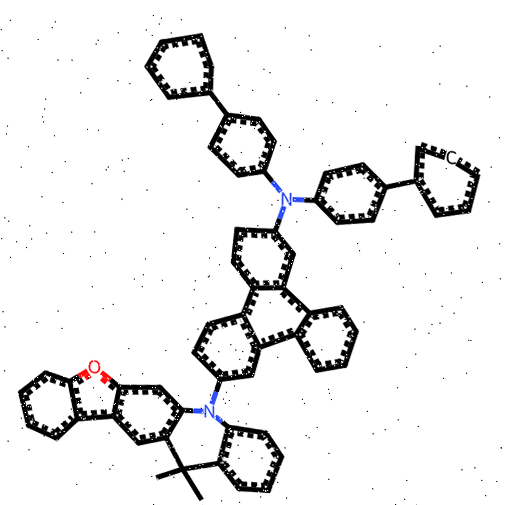 CC1(C)c2ccccc2N(c2ccc3c4ccc(N(c5ccc(-c6ccccc6)cc5)c5ccc(-c6ccccc6)cc5)cc4c4ccccc4c3c2)c2cc3oc4ccccc4c3cc21